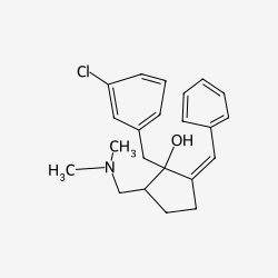 CN(C)CC1CCC(=Cc2ccccc2)C1(O)Cc1cccc(Cl)c1